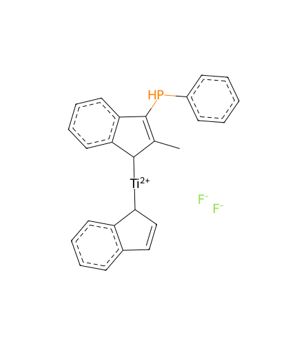 CC1=C(Pc2ccccc2)c2ccccc2[CH]1[Ti+2][CH]1C=Cc2ccccc21.[F-].[F-]